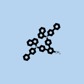 Cc1ccc(-c2ccc(N(c3ccc(-c4ccccc4)cc3)c3cccc4ccccc34)cc2)c(-c2ccc(N(c3ccc(-c4ccccc4)cc3)c3cccc4ccccc34)cc2)c1